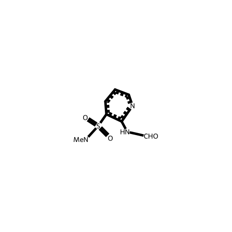 CNS(=O)(=O)c1cccnc1NC=O